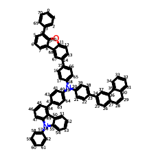 c1ccc(-c2cccc3c2oc2ccc(-c4ccc(N(c5ccc(-c6ccc7ccc8ccccc8c7c6)cc5)c5ccc(-c6cccc7c6c6ccccc6n7-c6ccccc6)cc5)cc4)cc23)cc1